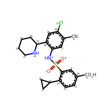 N#Cc1cc(NS(=O)(=O)c2cc(C(=O)O)ccc2C2CC2)c(C2CCCCN2)cc1Cl